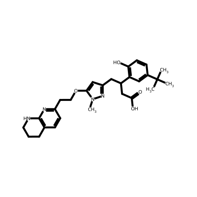 Cn1nc(CC(CC(=O)O)c2cc(C(C)(C)C)ccc2O)cc1OCCc1ccc2c(n1)NCCC2